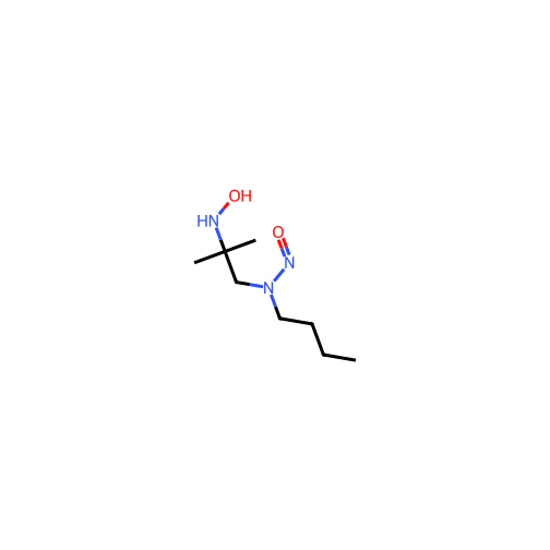 CCCCN(CC(C)(C)NO)N=O